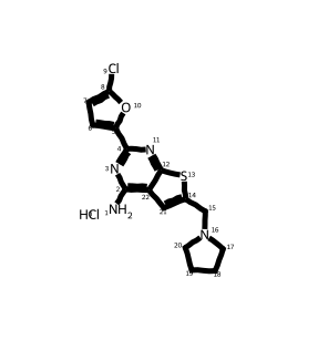 Cl.Nc1nc(-c2ccc(Cl)o2)nc2sc(CN3CCCC3)cc12